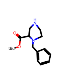 CC(C)(C)OC(=O)C1CNCCN1Cc1ccccc1